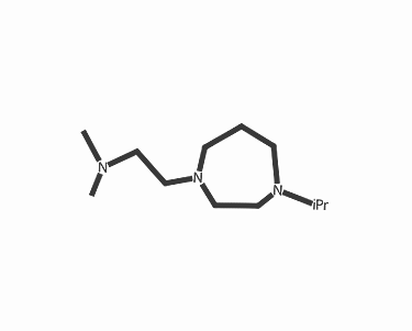 CC(C)N1CCCN(CCN(C)C)CC1